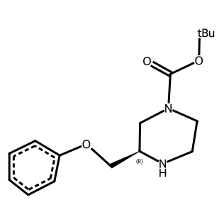 CC(C)(C)OC(=O)N1CCN[C@@H](COc2ccccc2)C1